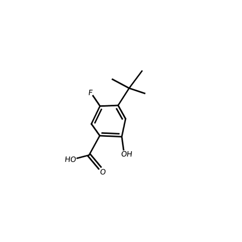 CC(C)(C)c1cc(O)c(C(=O)O)cc1F